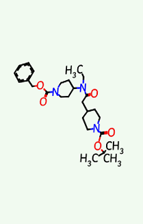 CCN(C(=O)CC1CCN(C(=O)OC(C)(C)C)CC1)C1CCN(C(=O)OCc2ccccc2)CC1